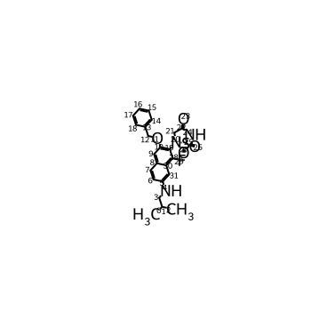 CC(C)CNc1ccc2cc(OCc3ccccc3)c(N3CC(=O)NS3(=O)=O)c(F)c2c1